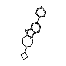 c1cc(-c2ccc3c(c2)nc2n3CCN(C3CCC3)CC2)ccn1